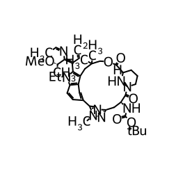 C=C/C(=C(\N=C/C)[C@H](C)OC)c1c2c3cc(ccc3n1CC)-c1nc(nn1C)C[C@H](NC(=O)OC(C)(C)C)C(=O)N1CCC[C@H](N1)C(=O)OCC(C)(C)C2